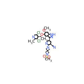 COc1cc2[nH]nc(-c3cnc(N4CC5(C4)CN(S(C)(=O)=O)C5)c(C#N)c3)c2cc1OC(C)c1c(Cl)cnc(C)c1Cl